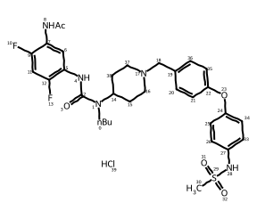 CCCCN(C(=O)Nc1cc(NC(C)=O)c(F)cc1F)C1CCN(Cc2ccc(Oc3ccc(NS(C)(=O)=O)cc3)cc2)CC1.Cl